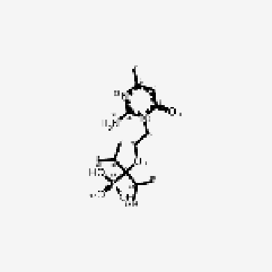 Cc1cc(=O)n(CCOC(C(C)C)(C(C)C)P(=O)(O)O)c(N)n1